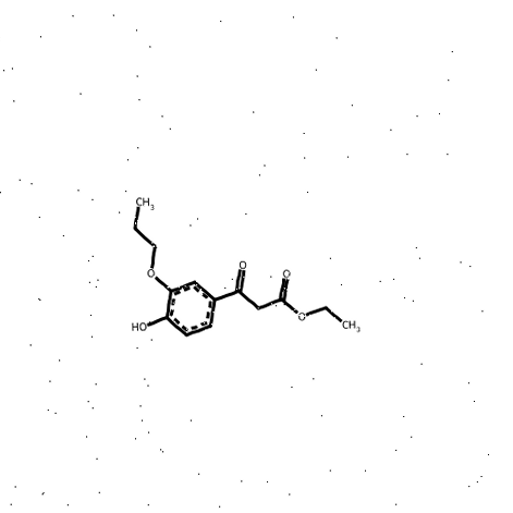 CCCOc1cc(C(=O)CC(=O)OCC)ccc1O